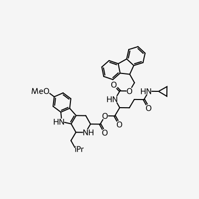 COc1ccc2c3c([nH]c2c1)C(CC(C)C)NC(C(=O)OC(=O)C(CCC(=O)NC1CC1)NC(=O)OCC1c2ccccc2-c2ccccc21)C3